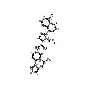 O=C(Nc1ccc(-n2cccn2)c(C(F)F)c1)c1cnn(-c2cccn3c(=O)ccnc23)c1C(F)(F)F